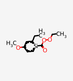 CCOOC(=O)[si]1ccc(OC)cc1CC